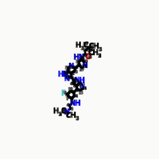 CN(C)CCNc1cc(F)cc(-c2ccnc3[nH]c(-c4n[nH]c5cnc(-c6cncc(NC(=O)CC(C)(C)C)c6)cc45)cc23)c1